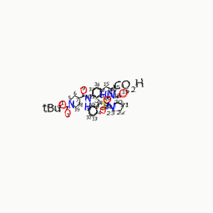 CC(C)(C)OC(=O)N1CCC(C(=O)Nc2ccc(C[C@H](NC(=O)[C@@H]3CCCN3S(=O)(=O)Cc3ccccc3)C(=O)O)cc2)CC1